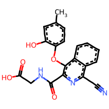 Cc1ccc(Oc2c(C(=O)NCC(=O)O)nc(C#N)c3ccccc23)c(O)c1